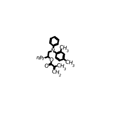 C=C(C)C(=O)OC(CCC)CN(c1ccccc1)c1ccc(C)cc1C